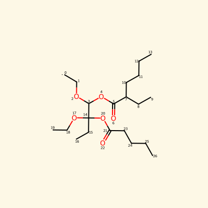 [CH2]COC(OC(=O)C(CC)CCCC)C(CC)(OCC)OC(=O)CCCC